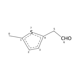 Cc1ccc(CC=O)s1